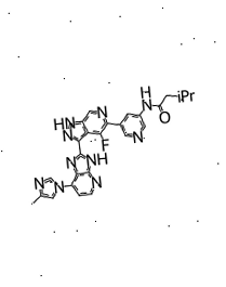 Cc1cn(-c2ccnc3[nH]c(-c4n[nH]c5cnc(-c6cncc(NC(=O)CC(C)C)c6)c(F)c45)nc23)cn1